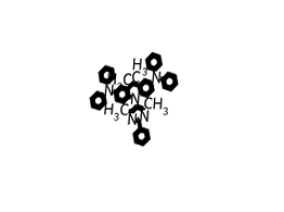 Cc1nc(-c2ccccc2)nc(C)c1N1c2ccc(N(c3ccccc3)c3ccccc3)cc2C(C)(C)c2cc(N(c3ccccc3)c3ccccc3)ccc21